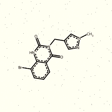 Cn1cc(Cn2c(=O)[nH]c3c(Br)cccc3c2=O)cn1